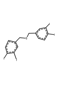 Ic1ccc(CSCc2ccc(I)c(I)c2)cc1I